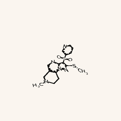 CSc1nn2c3c(cnc2c1S(=O)(=O)c1cccnc1)CN(C)CC3